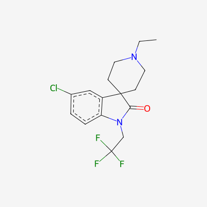 CCN1CCC2(CC1)C(=O)N(CC(F)(F)F)c1ccc(Cl)cc12